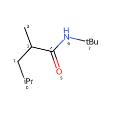 CC(C)CC(C)C(=O)NC(C)(C)C